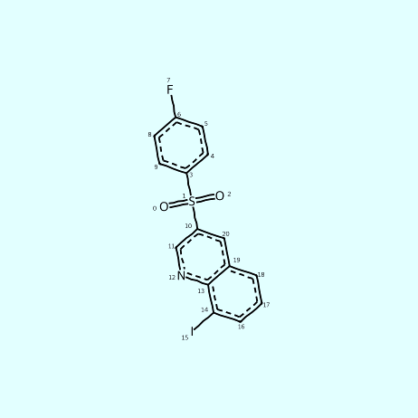 O=S(=O)(c1ccc(F)cc1)c1cnc2c(I)cccc2c1